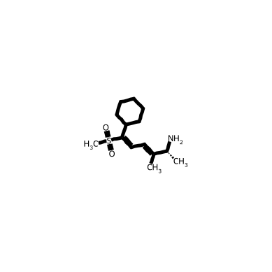 C/C(=C\C=C(/C1CCCCC1)S(C)(=O)=O)[C@@H](C)N